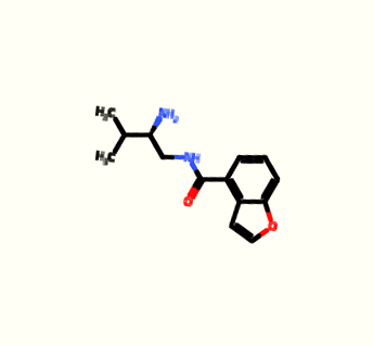 CC(C)[C@@H](N)CNC(=O)c1cccc2occc12